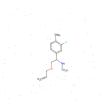 C=CCOCC(NC(=O)O)c1ccc(OC)c(F)c1